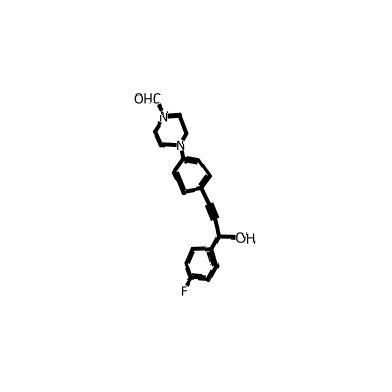 O=CN1CCN(c2ccc(C#CC(O)c3ccc(F)cc3)cc2)CC1